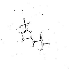 CN(C)C(=O)N(C)c1cc(C(C)(C)C)no1